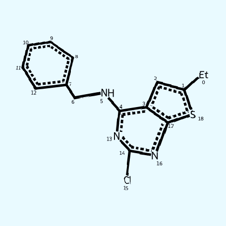 CCc1cc2c(NCc3ccccc3)nc(Cl)nc2s1